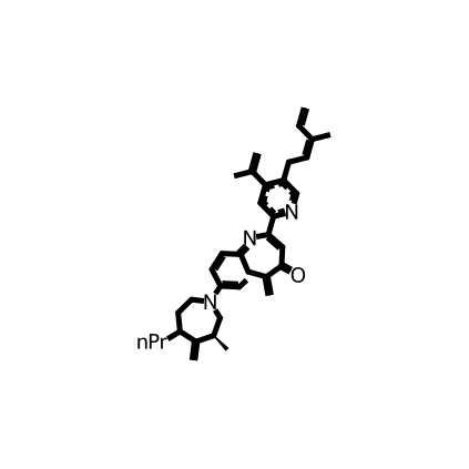 C=C/C(C)=C\Cc1cnc(C2=CC(=O)C(=C)CC(/C=C\C(=C/C)N3CCC(CCC)C(=C)[C@H](C)C3)=N2)cc1C(=C)C